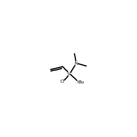 C=C[Si](Cl)(N(C)C)C(C)(C)C